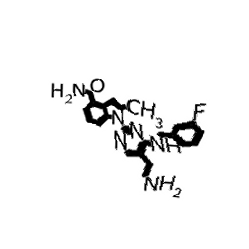 Cc1cc2c(C(N)=O)cccc2n1-c1ncc(CCN)c(NCc2cccc(F)c2)n1